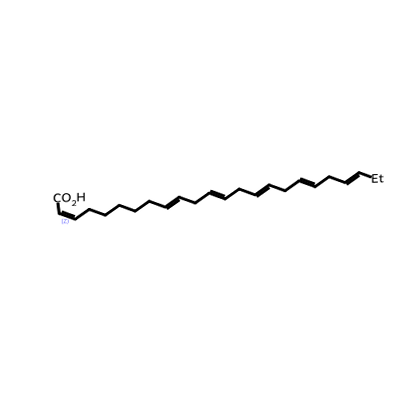 CCC=CCC=CCC=CCC=CCC=CCCCCC/C=C\C(=O)O